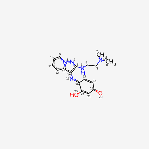 CN(C)CCNc1nn2ccccc2c1/N=C1\C=CC(=O)C=C1O